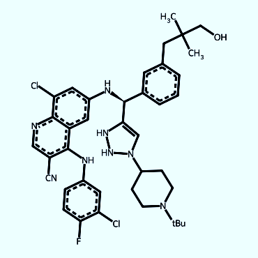 CC(C)(CO)Cc1cccc([C@H](Nc2cc(Cl)c3ncc(C#N)c(Nc4ccc(F)c(Cl)c4)c3c2)C2=CN(C3CCN(C(C)(C)C)CC3)NN2)c1